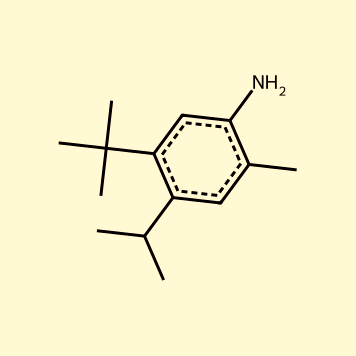 Cc1cc(C(C)C)c(C(C)(C)C)cc1N